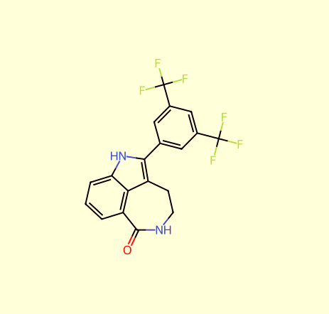 O=C1NCCc2c(-c3cc(C(F)(F)F)cc(C(F)(F)F)c3)[nH]c3cccc1c23